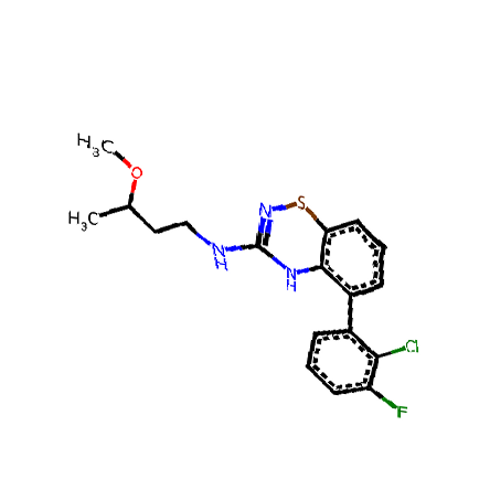 COC(C)CCNC1=NSc2cccc(-c3cccc(F)c3Cl)c2N1